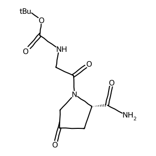 CC(C)(C)OC(=O)NCC(=O)N1CC(=O)C[C@H]1C(N)=O